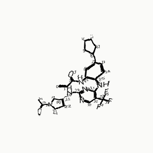 C=CC(=O)Nc1cc(C2CCCC2)ccc1Nc1nc(N[C@@H]2CCN(C(C)=O)C2)ncc1C(F)(F)F